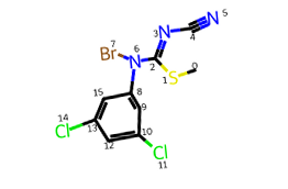 CSC(=NC#N)N(Br)c1cc(Cl)cc(Cl)c1